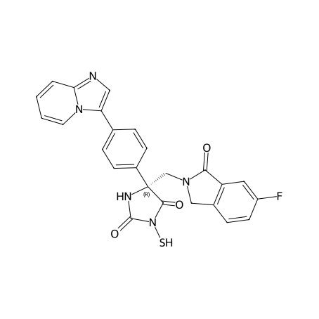 O=C1c2cc(F)ccc2CN1C[C@@]1(c2ccc(-c3cnc4ccccn34)cc2)NC(=O)N(S)C1=O